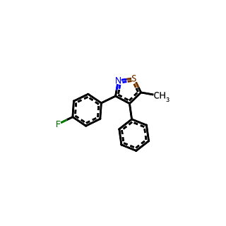 Cc1snc(-c2ccc(F)cc2)c1-c1ccccc1